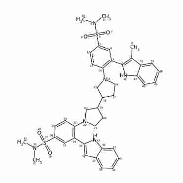 Cc1c(-c2cc(S(=O)(=O)N(C)C)ccc2N2CCC(C3CCN(c4ccc(S(=O)(=O)N(C)C)cc4-c4cc5ccccc5[nH]4)C3)C2)[nH]c2ccccc12